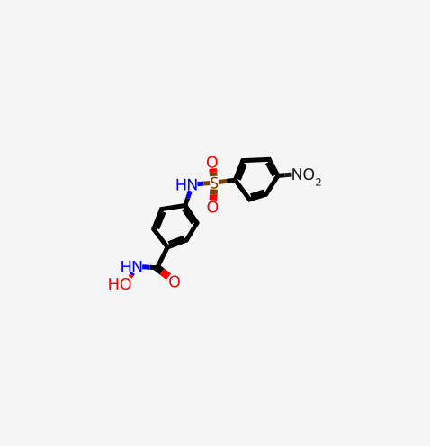 O=C(NO)c1ccc(NS(=O)(=O)c2ccc([N+](=O)[O-])cc2)cc1